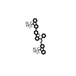 CC1(C)c2ccccc2-c2ccc(CCC(c3ccccc3)c3cccc4c3sc3cc(-c5ccc6c(c5)C(C)(C)c5ccccc5-6)ccc34)cc21